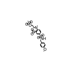 COc1ccc(CNS(=O)(=O)c2ccc(N(C)CCOS(C)(=O)=O)c([N+](=O)[O-])c2)cc1